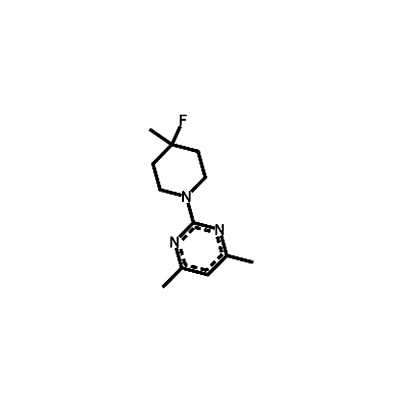 Cc1cc(C)nc(N2CCC(C)(F)CC2)n1